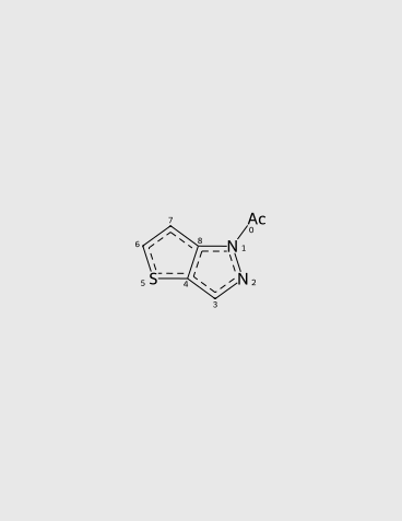 CC(=O)n1ncc2sccc21